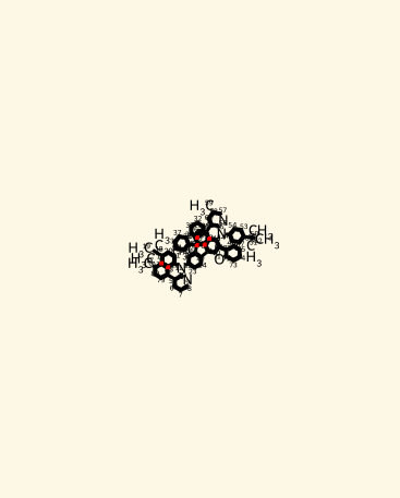 Cc1ccc(-c2cccnc2N(c2ccc(C(C)(C)C)cc2)c2ccc3c(c2)C(c2ccccc2)(c2ccccc2)c2cc(N(c4ccc(C(C)(C)C)cc4)c4ncc(C)cc4-c4ccc(C)cc4)c4c(oc5ccccc54)c2-3)cc1